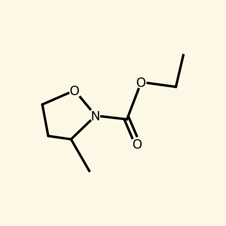 CCOC(=O)N1OCCC1C